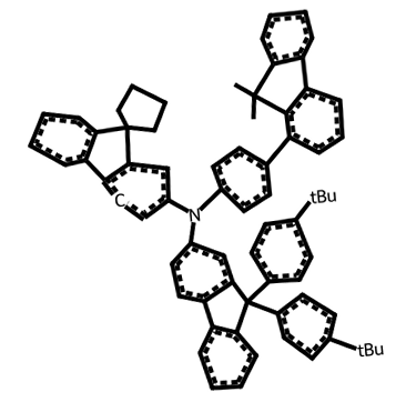 CC(C)(C)c1ccc(C2(c3ccc(C(C)(C)C)cc3)c3ccccc3-c3ccc(N(c4ccc(-c5cccc6c5C(C)(C)c5ccccc5-6)cc4)c4ccc5c(c4)C4(CCCC4)c4ccccc4-5)cc32)cc1